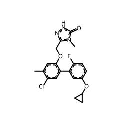 Cc1cc(OCc2n[nH]c(=O)n2C)c(-c2cc(OC3CC3)ccc2F)cc1Cl